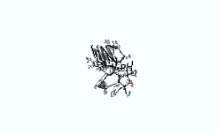 CC(C)(C)c1ccc(CP)c(C(P)(c2ccc[nH]2)c2ccc[nH]2)c1C(C)(C)C